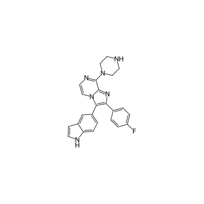 Fc1ccc(-c2nc3c(N4CCNCC4)nccn3c2-c2ccc3[nH]ccc3c2)cc1